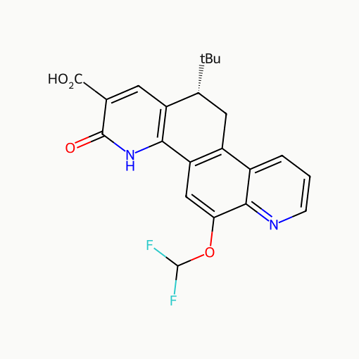 CC(C)(C)[C@@H]1Cc2c(cc(OC(F)F)c3ncccc23)-c2[nH]c(=O)c(C(=O)O)cc21